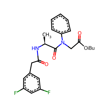 CC(C)COC(=O)CN(C(=O)[C@H](C)NC(=O)Cc1cc(F)cc(F)c1)c1ccccc1